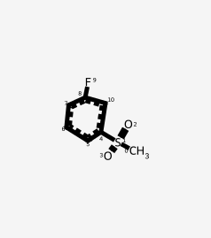 CS(=O)(=O)c1[c]ccc(F)c1